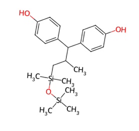 CC(C[Si](C)(C)O[Si](C)(C)C)C(c1ccc(O)cc1)c1ccc(O)cc1